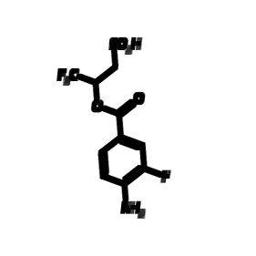 Nc1ccc(C(=O)OC(CS(=O)(=O)O)C(F)(F)F)cc1F